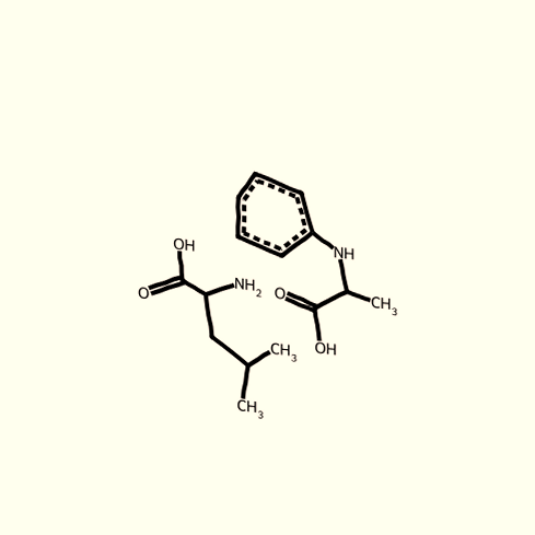 CC(C)CC(N)C(=O)O.CC(Nc1ccccc1)C(=O)O